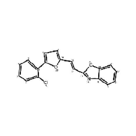 Clc1ccccc1-c1ccc(/C=C/c2nc3ccccc3o2)o1